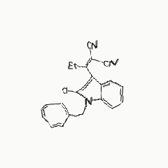 CCC(=C(C#N)C#N)c1c(Cl)n(Cc2ccccc2)c2ccccc12